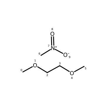 COCCOC.C[N+](=O)[O-]